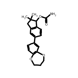 CC1(C)Cc2cc(-c3ccc4c(c3)OCCCO4)ccc2C1OC(N)=O